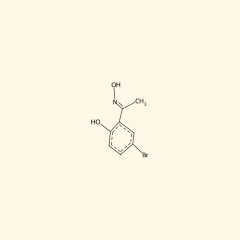 CC(=NO)c1cc(Br)ccc1O